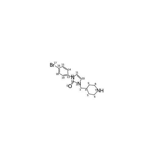 O=c1n(CC2CCNCC2)ccn1-c1ccc(Br)cc1